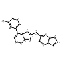 Oc1cccc(-c2cccc3nc(Nc4ccc5cn[nH]c5c4)nn23)c1